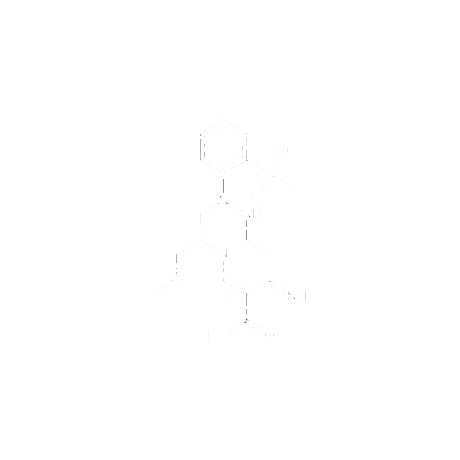 CCNN(CC(COC)N/C=C(\C=N)C(=O)O)c1ccccc1S(C)(=O)=O